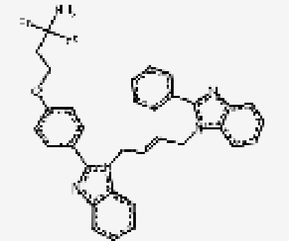 CCC(N)(CC)CCOc1ccc(-c2nc3ccccc3n2CC=CCn2c(-c3ccccc3)nc3ccccc32)cc1